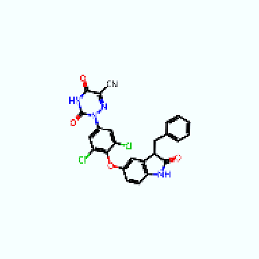 N#Cc1nn(-c2cc(Cl)c(Oc3ccc4c(c3)C(Cc3ccccc3)C(=O)N4)c(Cl)c2)c(=O)[nH]c1=O